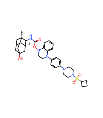 O=C(NC1[C@@H]2CC3C[C@H]1CC(O)(C3)C2)ON1CCN(c2ccc(N3CCN(S(=O)(=O)C4CCC4)CC3)cc2)c2ccccc21